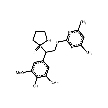 COc1cc(C(COc2nc(C)cc(C)n2)P2(=O)CCCN2)cc(OC)c1O